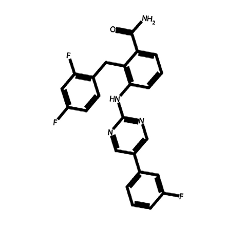 NC(=O)c1cccc(Nc2ncc(-c3cccc(F)c3)cn2)c1Cc1ccc(F)cc1F